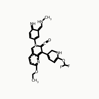 CCOc1ccc2c(n1)=C(C1=CC=C(OC(F)F)NC1)C(=C=O)N(C1=C/C(=C/NC)C(=N)C=C1)C=2